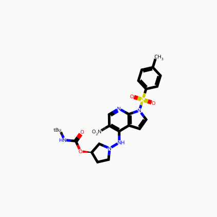 Cc1ccc(S(=O)(=O)n2ccc3c(NN4CC[C@@H](OC(=O)NC(C)(C)C)C4)c([N+](=O)[O-])cnc32)cc1